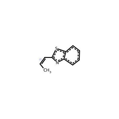 C/C=C\c1nc2ccccc2s1